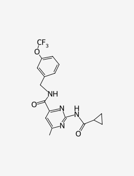 Cc1cc(C(=O)NCc2cccc(OC(F)(F)F)c2)nc(NC(=O)C2CC2)n1